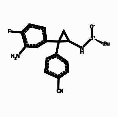 CC(C)(C)[S@@+]([O-])NC1CC1(c1ccc(C#N)cc1)c1ccc(F)c(N)c1